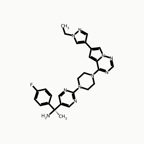 CCn1cc(-c2cc3c(N4CCN(c5ncc([C@@](C)(N)c6ccc(F)cc6)cn5)CC4)ncnn3c2)cn1